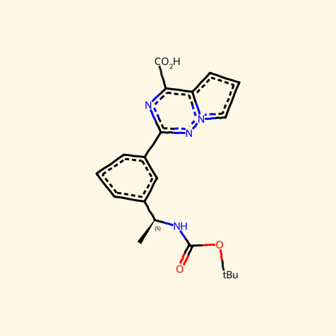 C[C@H](NC(=O)OC(C)(C)C)c1cccc(-c2nc(C(=O)O)c3cccn3n2)c1